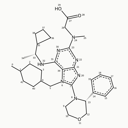 CC1CCC(Cn2c(N3CCOC[C@H]3c3ccccc3)nc3nc(N(C)CC(=O)O)nc(N[C@H](C)C4CCC4)c32)CC1